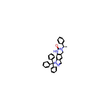 C[C@H](c1ccccc1)N1Cc2cc3cnn(C(c4ccccc4)(c4ccccc4)c4ccccc4)c3cc2NC1=O